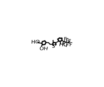 Cc1c(-c2csc(CCc3ccc(CO)c(CO)c3)c2C)cccc1C(F)(F)C(O)(F)C(F)(F)F